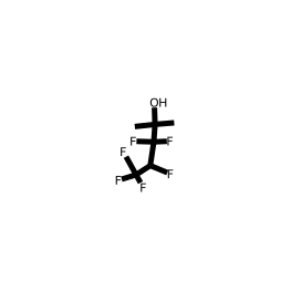 CC(C)(O)C(F)(F)C(F)C(F)(F)F